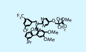 COC(=O)C(C)(C)COc1cnc(N(Cc2cc(C(F)(F)F)cc(C(F)(F)F)c2)Cc2cc(OC)c(OC)cc2-c2cc(C(C)C)ccc2OC)nc1